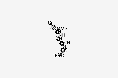 COc1nc(Nc2nccc(-c3ccc(OC4CCN(C(=O)OC(C)(C)C)CC4(F)F)c(C#N)c3)n2)ccc1N1CCN(C2COC2)[C@@H](C)C1